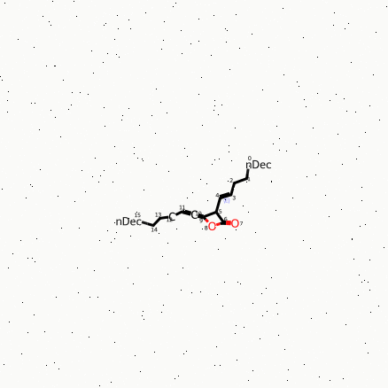 CCCCCCCCCCCC/C=C/C1C(=O)OC1=C=CCCCCCCCCCCCCC